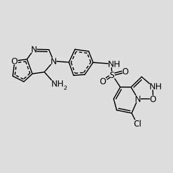 NC1c2ccoc2N=CN1c1ccc(NS(=O)(=O)C2=CC=C(Cl)N3ONC=C23)cc1